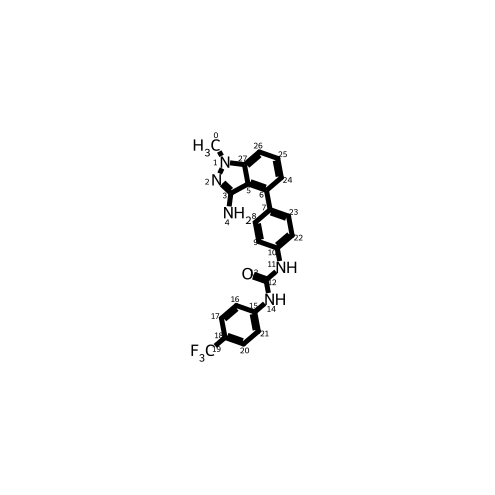 Cn1nc(N)c2c(-c3ccc(NC(=O)Nc4ccc(C(F)(F)F)cc4)cc3)cccc21